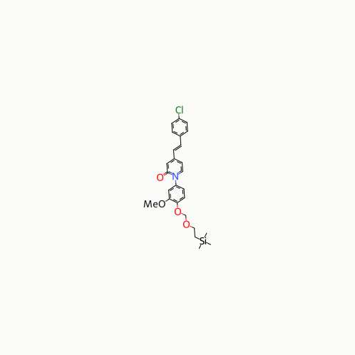 COc1cc(-n2ccc(C=Cc3ccc(Cl)cc3)cc2=O)ccc1OCOCC[Si](C)(C)C